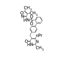 CCCc1nc(C)[nH]c(=O)c1Cc1ccc(-c2ccccc2S(=O)(=O)Nc2noc(C)c2C)cc1